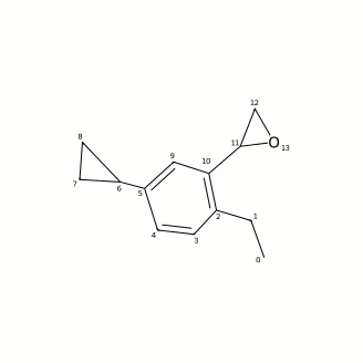 CCc1ccc(C2CC2)cc1C1CO1